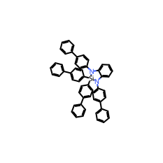 c1ccc(-c2ccc(N3c4ccccc4N(c4ccc(-c5ccccc5)cc4)[Si]3(c3ccc(-c4ccccc4)cc3)c3ccc(-c4ccccc4)cc3)cc2)cc1